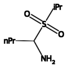 CCCC(N)S(=O)(=O)C(C)C